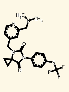 CN(C)Cc1cc(CN2C(=O)N(c3ccc(SC(F)(F)F)cc3)C(=O)C23CC3)ccn1